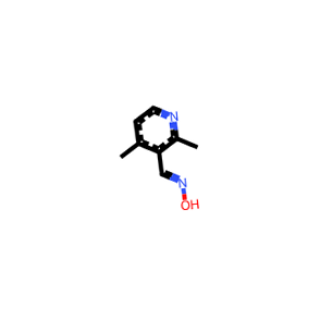 Cc1ccnc(C)c1C=NO